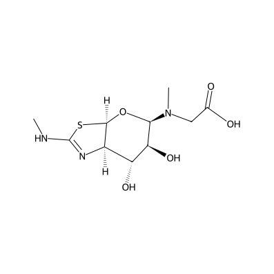 CNC1=N[C@@H]2[C@@H](O)[C@H](O)[C@H](N(C)CC(=O)O)O[C@@H]2S1